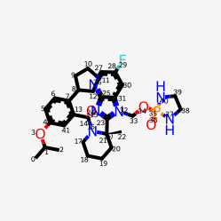 CC(C)Oc1ccc(C2CCCC2)c(C(=O)N2CCCC[C@@]2(C)c2nc3ncc(F)cc3n2COP2(=O)NCCN2)c1